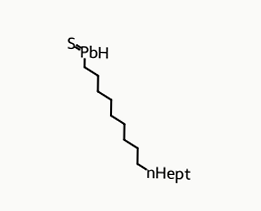 CCCCCCCCCCCCCCC[CH2][PbH]=[S]